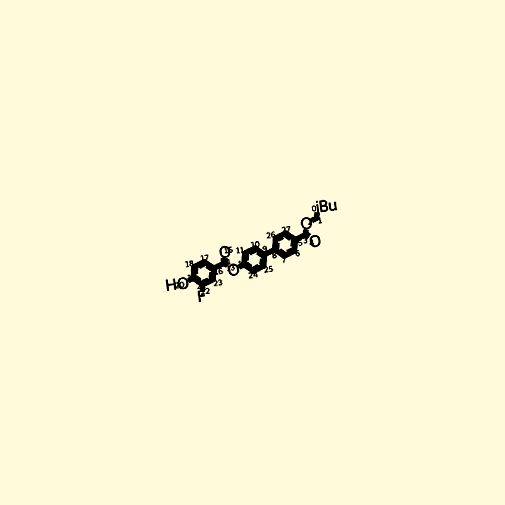 CCC(C)COC(=O)c1ccc(-c2ccc(OC(=O)c3ccc(O)c(F)c3)cc2)cc1